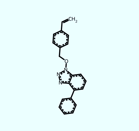 C=Cc1ccc(COn2nnc3c(-c4ccccc4)cccc32)cc1